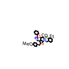 CCOC(=O)c1cn(Cc2ccccc2F)c2sc(Cc3ccc(OC)cc3)c(CN(C)Cc3ccccc3)c2c1=O